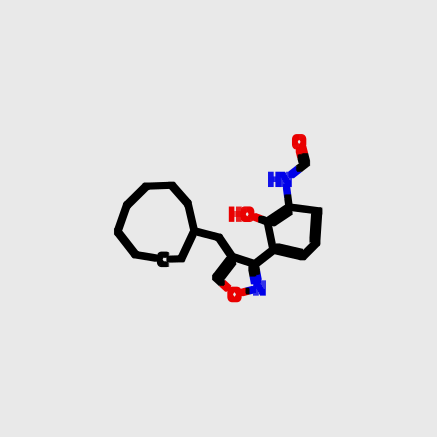 O=CNc1cccc(-c2nocc2CC2CCCCCCCC2)c1O